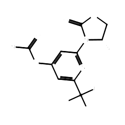 C[C@H]1COC(=O)N1c1cc(OC(N)=O)cc(C(F)(F)F)n1